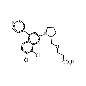 O=C(O)CCOC[C@@H]1CCCN1c1cc(-c2ccnnc2)c2ccc(Cl)c(Cl)c2n1